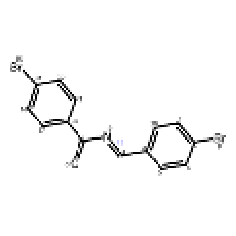 O=C(/N=C/c1ccc(Br)cc1)c1ccc(Br)cc1